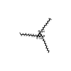 CCCCCCCCCCCCNC(=O)c1cc(C(=O)NCCCCCCCCCCCC)cc(C(=O)NCCCCCCCCCCCC)c1